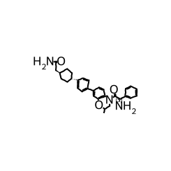 CC1CN(C(=O)[C@@H](N)c2ccccc2)c2ccc(-c3ccc([C@H]4CC[C@H](CC(N)=O)CC4)cc3)cc2O1